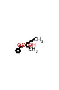 CCCCCCC(CC(C)O)OCC(=O)c1ccccc1